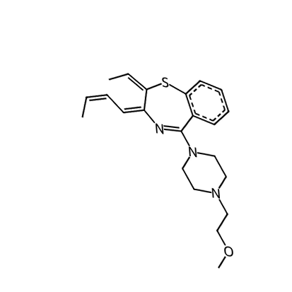 C\C=C/C=C1/N=C(N2CCN(CCOC)CC2)c2ccccc2S/C1=C/C